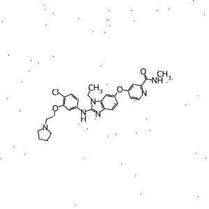 CCn1c(Nc2ccc(Cl)c(OCCN3CCCC3)c2)nc2ccc(Oc3ccnc(C(=O)NC)c3)cc21